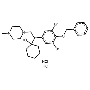 CN1CCN(CC(c2cc(Br)c(OCc3ccccc3)c(Br)c2)C2(O)CCCCC2)CC1.Cl.Cl